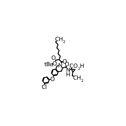 C=CCCCCCC(C(=O)OC(C)(C)C)C(=O)N1Cc2ccc(Oc3cccc(Cl)c3)cc2CC1C(=O)NC1(C(=O)O)CC1C=C